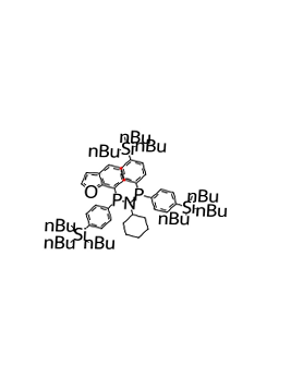 CCCC[Si](CCCC)(CCCC)c1ccc(P(c2ccc([Si](CCCC)(CCCC)CCCC)cc2)N(C2CCCCC2)P(c2ccc([Si](CCCC)(CCCC)CCCC)cc2)c2cccc3ccoc23)cc1